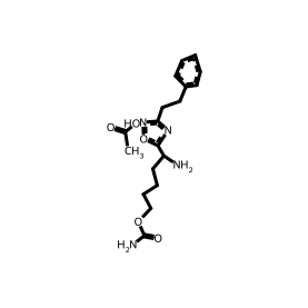 CC(=O)O.NC(=O)OCCCCC(N)c1nc(CCc2ccccc2)no1